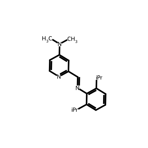 CC(C)c1cccc(C(C)C)c1/N=C/c1cc(N(C)C)ccn1